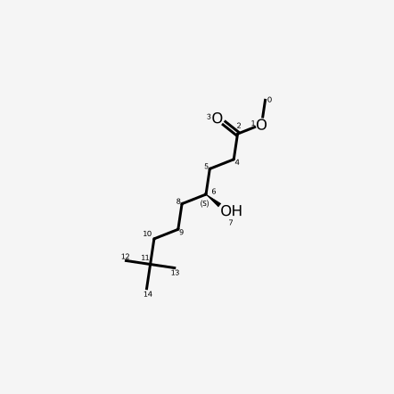 COC(=O)CC[C@@H](O)CCCC(C)(C)C